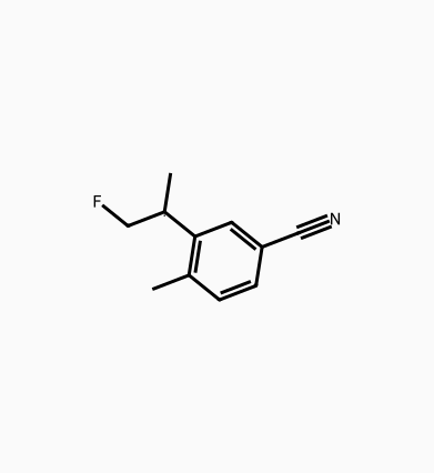 C[C](CF)c1cc(C#N)ccc1C